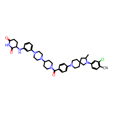 CC1CC2(CCN(c3ccc(C(=O)N4CCC(N5CCN(c6cccc(NC7CCC(=O)NC7=O)c6)CC5)CC4)cc3)CC2)CN1c1ccc(C#N)c(Cl)c1